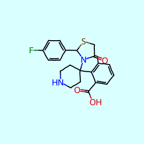 Cc1cccc(C(=O)O)c1C1(N2C(=O)CSC2c2ccc(F)cc2)CCNCC1